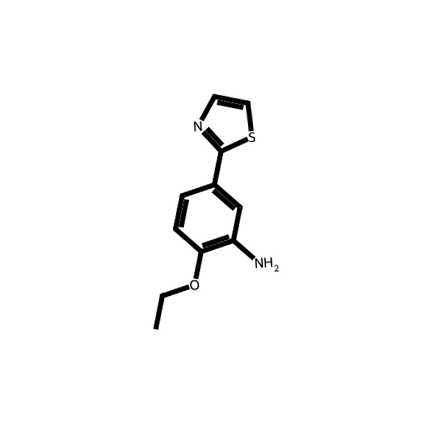 CCOc1ccc(-c2nccs2)cc1N